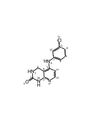 O=C1NCc2c(Nc3cccc(Cl)c3)ccnc2N1